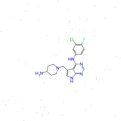 NC1CCN(Cc2c[nH]c3ncnc(Nc4ccc(F)c(Cl)c4)c23)CC1